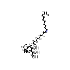 CCCCCCCC/C=C\CCCCCCCC(=O)O[C@@H](C1OCCO1)[C@@H](O)[C@H](O)[C@H](O)CO